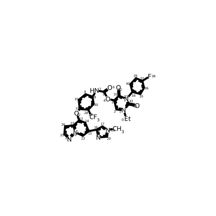 CCn1cc(OC(=O)Nc2ccc(Oc3cc(-c4cn(C)cn4)cn4nccc34)c(C(F)(F)F)c2)c(=O)n(-c2ccc(F)cc2)c1=O